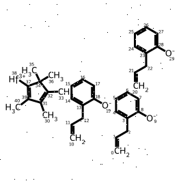 C=CCc1ccccc1[O-].C=CCc1ccccc1[O-].C=CCc1ccccc1[O-].CC1=C(C)C(C)(C)[C]([Hf+3])=C1C